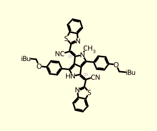 CCC(C)COc1ccc(-c2[nH]/c(=C(/C#N)c3nc4ccccc4s3)c3c(-c4ccc(OCC(C)CC)cc4)n(C)/c(=C(/C#N)c4nc5ccccc5s4)c23)cc1